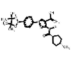 C=C(O)c1cn(-c2ccc(B3OC(C)(C)C(C)(C)O3)cc2)nc1N(C(=O)[C@H]1CC[C@H](C)CC1)C(C)C